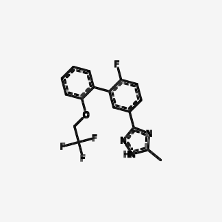 Cc1nc(-c2ccc(F)c(-c3ccccc3OCC(F)(F)F)c2)n[nH]1